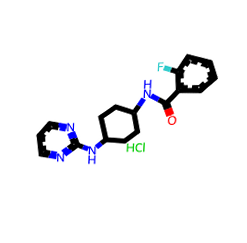 Cl.O=C(NC1CCC(Nc2ncccn2)CC1)c1ccccc1F